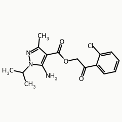 Cc1nn(C(C)C)c(N)c1C(=O)OCC(=O)c1ccccc1Cl